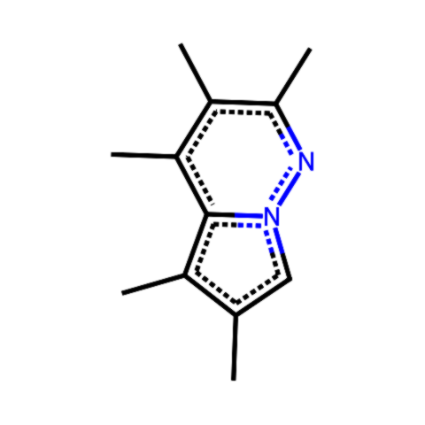 Cc1cn2nc(C)c(C)c(C)c2c1C